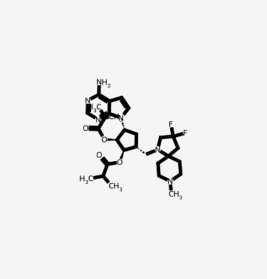 CC(C)C(=O)O[C@@H]1[C@@H](CN2CC(F)(F)CC23CCN(C)CC3)C[C@@H](n2ccc3c(N)ncnc32)[C@@H]1OC(=O)C(C)C